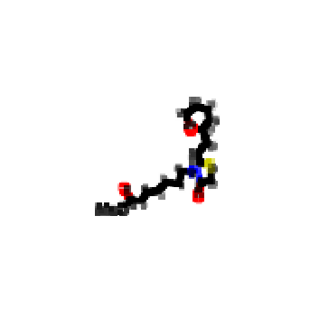 COC(=O)CCCCCCN1C(=O)CSC1CCC1CCCCO1